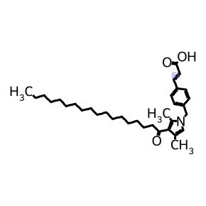 CCCCCCCCCCCCCCCCCC(=O)c1c(C)cn(Cc2ccc(/C=C/C(=O)O)cc2)c1C